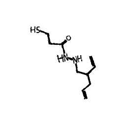 C=CCC(C=C)CNNC(=O)CCS